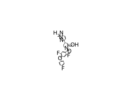 Nc1ccc(C2CCN(C(=O)c3cc(F)c(Oc4ccc(F)cc4)cc3F)[C@H](CO)C2)nn1